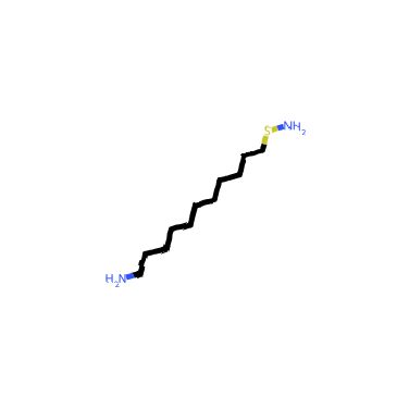 NCCCCCCCCCCCSN